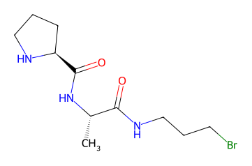 C[C@H](NC(=O)[C@@H]1CCCN1)C(=O)NCCCBr